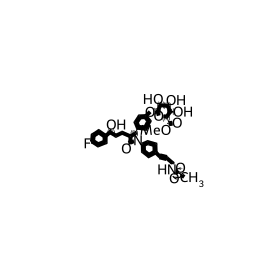 COC(=O)[C@@H]1O[C@H](Oc2ccc([C@H]3C(CC[C@@H](O)c4ccc(F)cc4)C(=O)N3c3ccc(C#CCNS(C)(=O)=O)cc3)cc2)[C@@H](O)[C@H](O)[C@H]1O